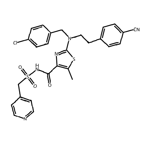 Cc1sc(N(CCc2ccc(C#N)cc2)Cc2ccc(Cl)cc2)nc1C(=O)NS(=O)(=O)Cc1ccncc1